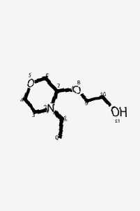 CCN1CCOCC1OCCO